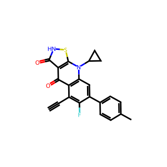 C#Cc1c(F)c(-c2ccc(C)cc2)cc2c1c(=O)c1c(=O)[nH]sc1n2C1CC1